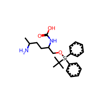 CC(N)CCC(CO[Si](c1ccccc1)(c1ccccc1)C(C)(C)C)NC(=O)O